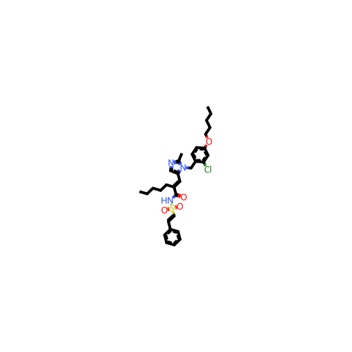 CCCCCOc1ccc(Cn2c(/C=C(\CCCCC)C(=O)NS(=O)(=O)/C=C/c3ccccc3)cnc2C)c(Cl)c1